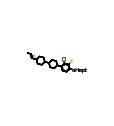 C/C=C/C1CCC(C2CCC(c3ccc(CCCCCCC)c(F)c3Cl)CC2)CC1